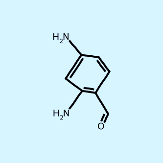 Nc1ccc(C=O)c(N)c1